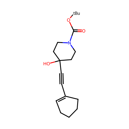 CC(C)(C)OC(=O)N1CCC(O)(C#CC2=CCCCC2)CC1